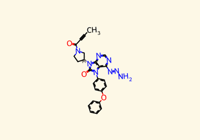 CC#CC(=O)N1CC[C@@H](n2c(=O)n(-c3ccc(Oc4ccccc4)cc3)c3c(N=NN)ncnc32)C1